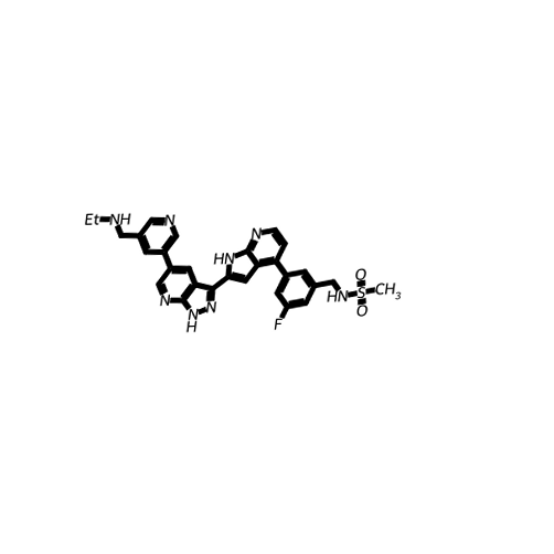 CCNCc1cncc(-c2cnc3[nH]nc(-c4cc5c(-c6cc(F)cc(CNS(C)(=O)=O)c6)ccnc5[nH]4)c3c2)c1